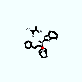 CN(c1nc2ccccc2s1)C1CC2CCC(C1)N2C/C=C/c1ccccc1.O=C(O)C(=O)O